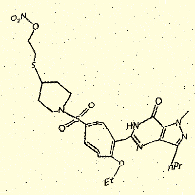 CCCc1nn(C)c2c(=O)[nH]c(-c3cc(S(=O)(=O)N4CCC(SCCO[N+](=O)[O-])CC4)ccc3OCC)nc12